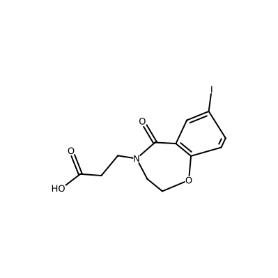 O=C(O)CCN1CCOc2ccc(I)cc2C1=O